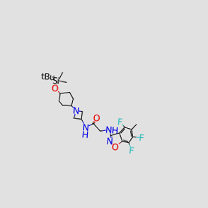 Cc1c(F)c(F)c2onc(NCC(=O)NC3CN(C4CCC(O[Si](C)(C)C(C)(C)C)CC4)C3)c2c1F